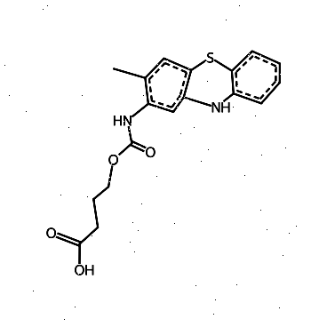 Cc1cc2c(cc1NC(=O)OCCCC(=O)O)Nc1ccccc1S2